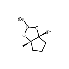 CC(C)[C@@]12CCC[C@]1(C)OB(C(C)(C)C)O2